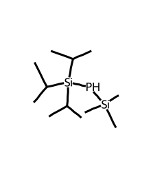 CC(C)[Si](P[Si](C)(C)C)(C(C)C)C(C)C